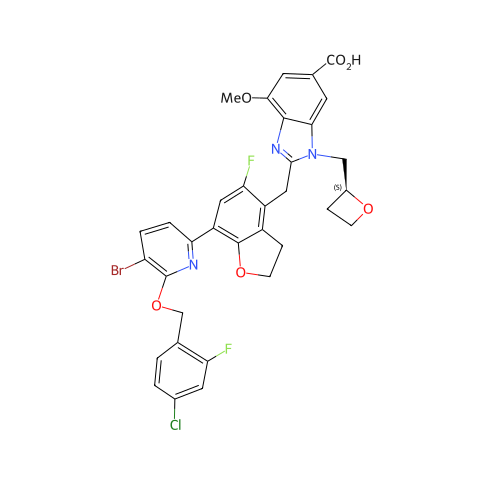 COc1cc(C(=O)O)cc2c1nc(Cc1c(F)cc(-c3ccc(Br)c(OCc4ccc(Cl)cc4F)n3)c3c1CCO3)n2C[C@@H]1CCO1